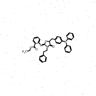 CCOC(=O)c1ccccc1N=C1OC(Cc2ccc(N(c3ccccc3)c3ccccc3)cc2)C(=O)N1CCc1ccccc1